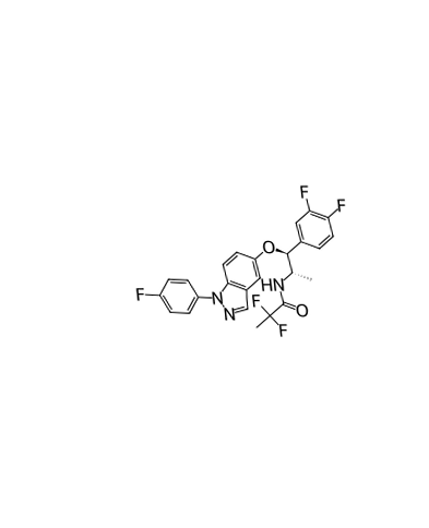 C[C@H](NC(=O)C(C)(F)F)[C@@H](Oc1ccc2c(cnn2-c2ccc(F)cc2)c1)c1ccc(F)c(F)c1